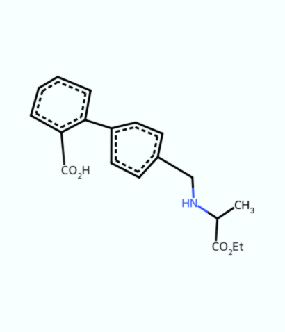 CCOC(=O)C(C)NCc1ccc(-c2ccccc2C(=O)O)cc1